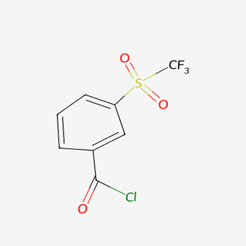 O=C(Cl)c1cccc(S(=O)(=O)C(F)(F)F)c1